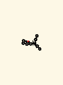 CC1(C)C2=C(CCC(c3nc(-c4ccc(C5=CCCC=C5)cc4)cc(-c4ccc(-c5ccccc5)cc4)n3)=C2)c2ccc3c(c21)C(C)(C)c1cccc2cccc-3c12